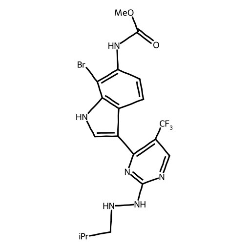 COC(=O)Nc1ccc2c(-c3nc(NNCC(C)C)ncc3C(F)(F)F)c[nH]c2c1Br